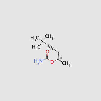 C[C@H](CC#C[Si](C)(C)C)OC(N)=O